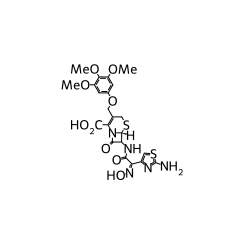 COc1cc(OCC2=C(C(=O)O)N3C(=O)C(NC(=O)/C(=N\O)c4csc(N)n4)[C@H]3SC2)cc(OC)c1OC